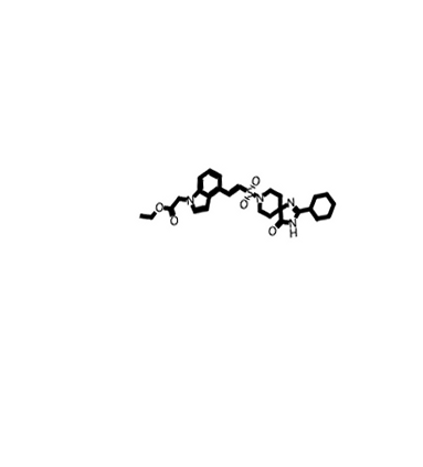 CCOC(=O)Cn1ccc2c(/C=C/S(=O)(=O)N3CCC4(CC3)N=C(C3CCCCC3)NC4=O)cccc21